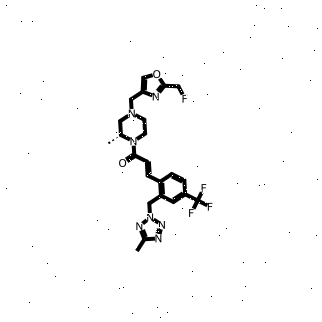 Cc1nnn(Cc2cc(C(F)(F)F)ccc2/C=C/C(=O)N2CCN(Cc3coc(CF)n3)C[C@H]2C)n1